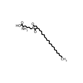 CCCCCCCCCCCCCCCCCCCCC1CC(=O)N(CCCCC(N)C(=O)O)C1=O